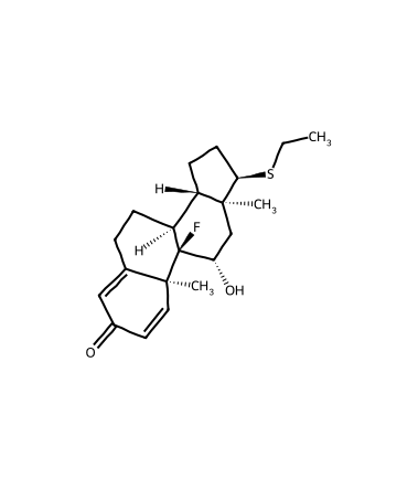 CCS[C@@H]1CC[C@H]2[C@@H]3CCC4=CC(=O)C=C[C@]4(C)[C@@]3(F)[C@@H](O)C[C@]12C